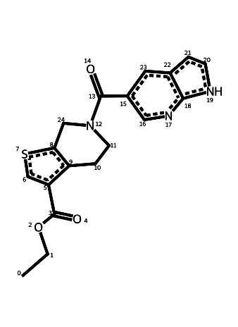 CCOC(=O)c1csc2c1CCN(C(=O)c1cnc3[nH]ccc3c1)C2